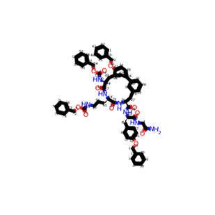 NC(=O)CNC(=O)[C@H](Cc1ccc(OCc2ccccc2)cc1)NC(=O)[C@@H]1Cc2cccc(c2)-c2ccc(OCc3ccccc3)c(c2)C[C@H](NC(=O)OCc2ccccc2)C(=O)N[C@@H](CCCNC(=O)OCc2ccccc2)C(=O)N1